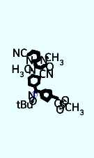 CN(c1c(C#N)c(=O)n(C)c2ccc(C#N)nc12)C1CCC(/C(=N/OC(C)(C)C)c2ccc(COS(C)(=O)=O)cc2)CC1